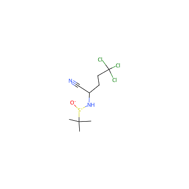 CC(C)(C)[S+]([O-])NC(C#N)CCC(Cl)(Cl)Cl